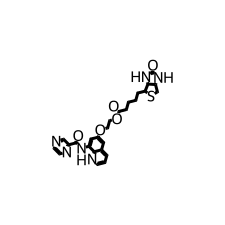 O=C1NC2CSC(CCCCC(=O)OCCOc3cc(NC(=O)c4cnccn4)c4ncccc4c3)C2N1